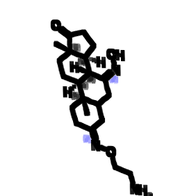 C[C@]12CC/C(=N/OCCN)CC1C/C(=N/O)[C@@H]1[C@@H]2CC[C@]2(C)C(=O)CC[C@@H]12